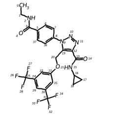 CCNC(=O)c1ccc(-n2nnc(C(=O)NC3CC3)c2COc2cc(C(F)(F)F)cc(C(F)(F)F)c2)cc1